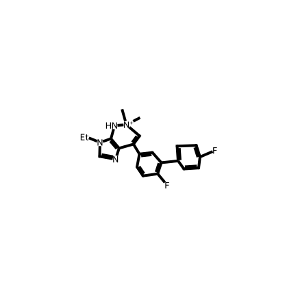 CCn1cnc2c1N[N+](C)(C)C=C2c1ccc(F)c(-c2ccc(F)cc2)c1